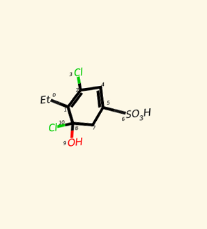 CCC1=C(Cl)C=C(S(=O)(=O)O)CC1(O)Cl